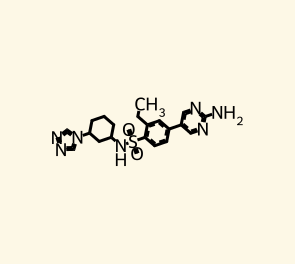 CCc1cc(-c2cnc(N)nc2)ccc1S(=O)(=O)NC1CCCC(n2cnnc2)C1